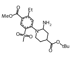 CCc1cc(N2CCC(C(=O)OC(C)(C)C)CC2N)c(S(C)(=O)=O)cc1C(=O)OC